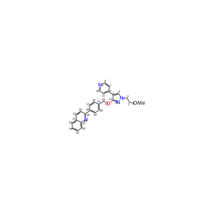 COCCn1cc(-c2ccncc2)c(OCc2ccc(-c3ccc4ccccc4n3)cc2)n1